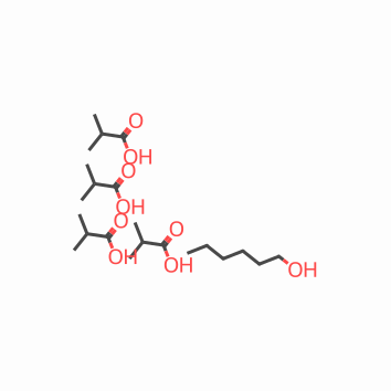 CC(C)C(=O)O.CC(C)C(=O)O.CC(C)C(=O)O.CC(C)C(=O)O.CCCCCCO